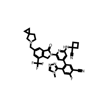 Cn1cnnc1-c1cc(F)c(C#N)cc1-c1cc(NC2(C#N)CCC2)nc(N2Cc3c(cc(CN4CCC5(CC5)C4)cc3C(F)(F)F)C2=O)c1